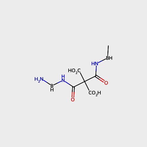 CBNC(=O)C(C(=O)O)(C(=O)O)C(=O)NBN